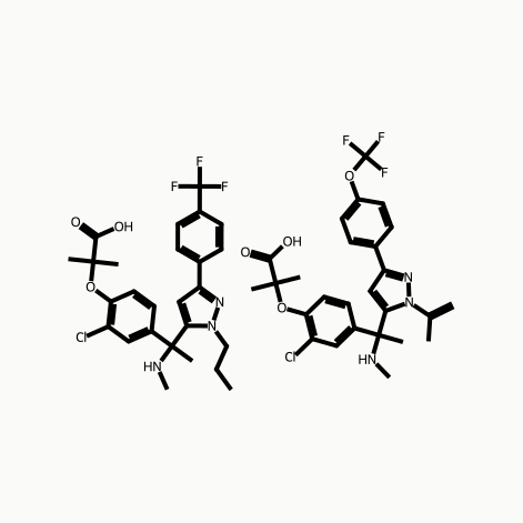 C=C(C)n1nc(-c2ccc(OC(F)(F)F)cc2)cc1C(C)(NC)c1ccc(OC(C)(C)C(=O)O)c(Cl)c1.CCCn1nc(-c2ccc(C(F)(F)F)cc2)cc1C(C)(NC)c1ccc(OC(C)(C)C(=O)O)c(Cl)c1